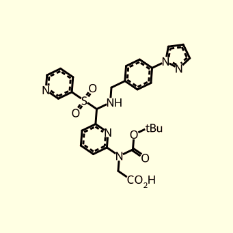 CC(C)(C)OC(=O)N(CC(=O)O)c1cccc(C(NCc2ccc(-n3cccn3)cc2)S(=O)(=O)c2cccnc2)n1